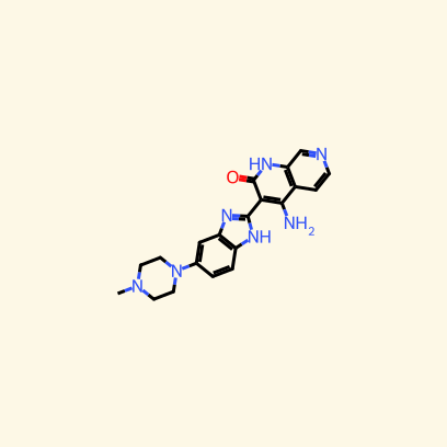 CN1CCN(c2ccc3[nH]c(-c4c(N)c5ccncc5[nH]c4=O)nc3c2)CC1